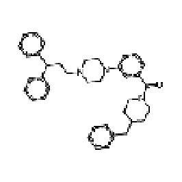 O=C(c1cccc(N2CCN(CCC(c3ccccc3)c3ccccc3)CC2)c1)N1CCC(Cc2ccccc2)CC1